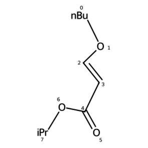 CCCCOC=CC(=O)OC(C)C